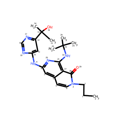 CCCn1ccc2cc(Nc3cc(C(C)(C)O)ncn3)nc(NC(C)(C)C)c2c1=O